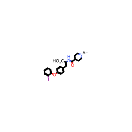 CC(=O)N1CCC(C(=O)NC(=Cc2ccc(Oc3ccccc3I)cc2)C(=O)O)CC1